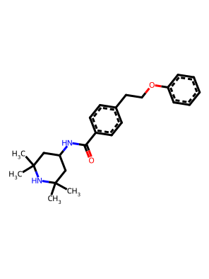 CC1(C)CC(NC(=O)c2ccc(CCOc3ccccc3)cc2)CC(C)(C)N1